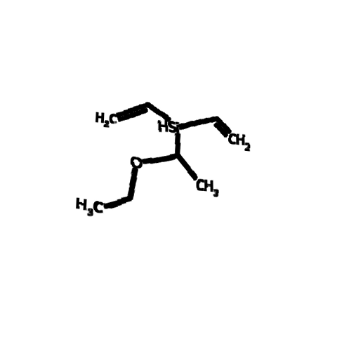 C=C[SiH](C=C)C(C)OCC